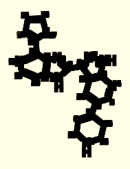 C1=C(c2cnc3[nH]nc(-c4nc5c(-c6cccs6)nccc5[nH]4)c3c2)CCNC1